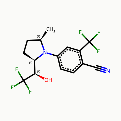 C[C@@H]1CC[C@H]([C@@H](O)C(F)(F)F)N1c1ccc(C#N)c(C(F)(F)F)c1